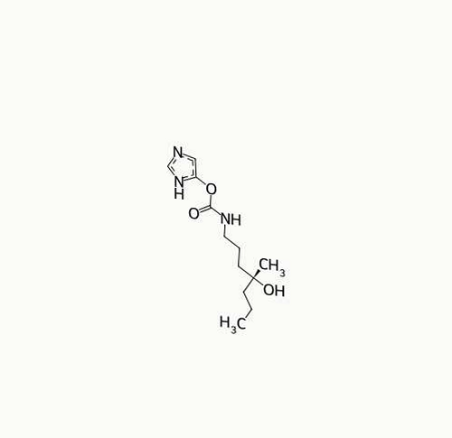 CCC[C@@](C)(O)CCCNC(=O)Oc1cnc[nH]1